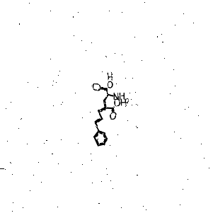 NC(CC(=CC=Cc1ccccc1)C(=O)O)C(=O)O